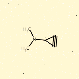 CN(C)C1C#C1